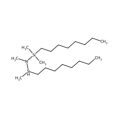 CCCCCCCC[SiH](C)N(C)[Si](C)(C)CCCCCCCC